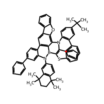 CC(C)(C)c1ccc(N2c3c(sc4ccccc34)B3c4c(cc5c(oc6ccccc65)c42)-c2ccc(-c4ccccc4)cc2N3c2ccc3c(c2)C(C)(C)CCC3(C)C)c(-c2ccccc2)c1